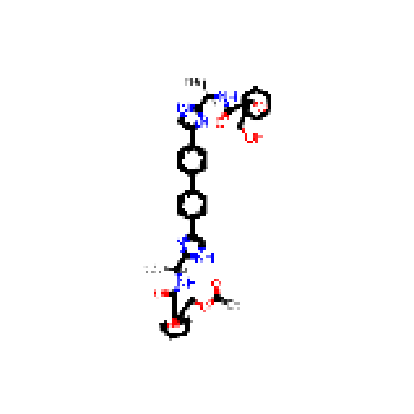 CCC(=O)OCC1(C(=O)N[C@H](c2nc(-c3ccc(-c4ccc(-c5c[nH]c([C@@H](NC(=O)C6(CO)OC7CCC6CC7)C(C)(C)C)n5)cc4)cc3)c[nH]2)C(C)(C)C)OC2CCC1CC2